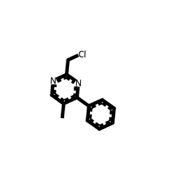 Cc1cnc(CCl)nc1-c1ccccc1